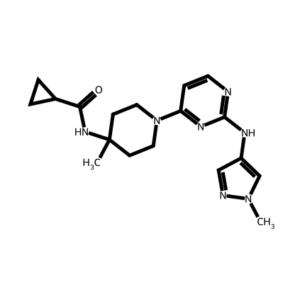 Cn1cc(Nc2nccc(N3CCC(C)(NC(=O)C4CC4)CC3)n2)cn1